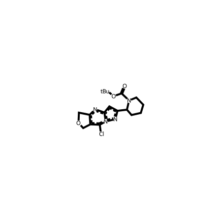 CC(C)(C)OC(=O)N1CCCCC1c1cc2nc3c(c(Cl)n2n1)COC3